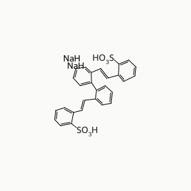 O=S(=O)(O)c1ccccc1/C=C/c1ccccc1-c1ccccc1/C=C/c1ccccc1S(=O)(=O)O.[NaH].[NaH]